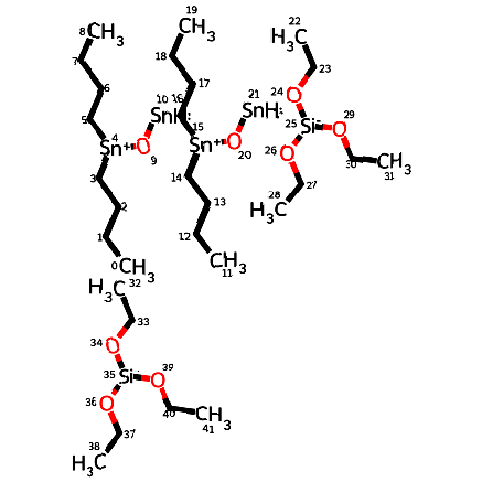 CCC[CH2][Sn+]([CH2]CCC)[O][SnH].CCC[CH2][Sn+]([CH2]CCC)[O][SnH].CCO[Si-](OCC)OCC.CCO[Si-](OCC)OCC